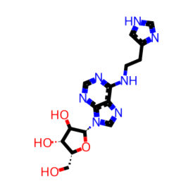 OC[C@H]1O[C@@H](n2cnc3c(NCCc4c[nH]cn4)ncnc32)C(O)[C@H]1O